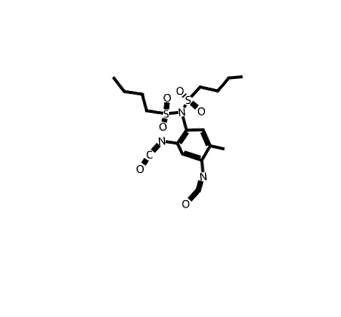 CCCCS(=O)(=O)N(c1cc(C)c(N=C=O)cc1N=C=O)S(=O)(=O)CCCC